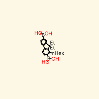 CCCCCCc1c(B(O)O)ccc2c1C(CC)(CC)c1cc(B(O)O)ccc1-2